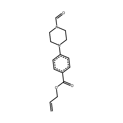 C=CCOC(=O)c1ccc(N2CCN(C=O)CC2)cc1